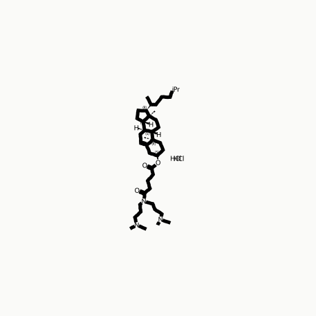 CC(C)CCCC(C)[C@H]1CC[C@H]2[C@@H]3CC=C4C[C@@H](OC(=O)CCCC(=O)N(CCCN(C)C)CCCN(C)C)CC[C@]4(C)[C@H]3CC[C@]12C.Cl.Cl